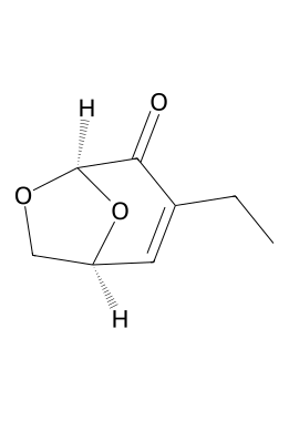 CCC1=C[C@H]2CO[C@H](O2)C1=O